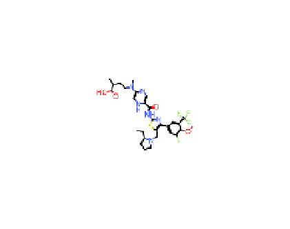 CCC1CCCN1Cc1sc(NC(=O)C2=CN=C(N(C)CCC(C)C(=O)O)CN2)nc1-c1cc(F)c(OC)c(C(F)(F)F)c1